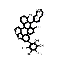 Bc1c(O)c(O)c(-c2ccc3c(c2)sc2cccc(-c4c5cccc(O)c5c(C(/C=C\C(=C)/C=C\C)=C/CC=C)c5c(O)cccc45)c23)c(O)c1O